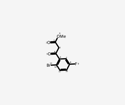 COC(=O)CC(=O)c1cc(F)ccc1Br